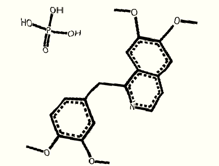 COc1ccc(Cc2nccc3cc(OC)c(OC)cc23)cc1OC.O=P(O)(O)O